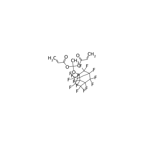 C=CC(=O)OC(C)(OC(=O)C=C)OC12C(F)(F)C3(F)C(F)(F)C(F)(C(F)(F)C(F)(C3(F)F)C1(F)F)C2(F)F